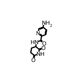 Nc1ccc(C(=O)NC2CCC(=O)NC2=O)nc1